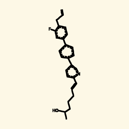 C=CCc1ccc(-c2ccc(-c3ccc(C=CCCCC(C)O)nc3)cc2)cc1F